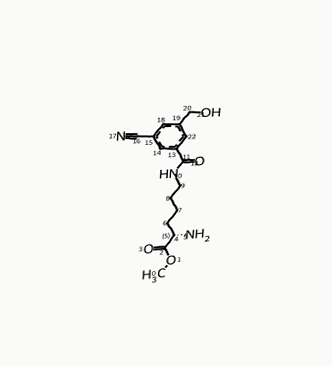 COC(=O)[C@@H](N)CCCCNC(=O)c1cc(C#N)cc(CO)c1